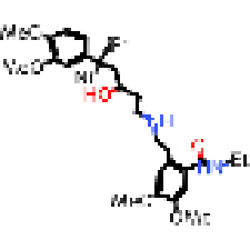 CCNC(=O)c1cc(OC)c(OC)cc1CCNCCC(O)CC(C#N)(c1ccc(OC)c(OC)c1)C(C)C